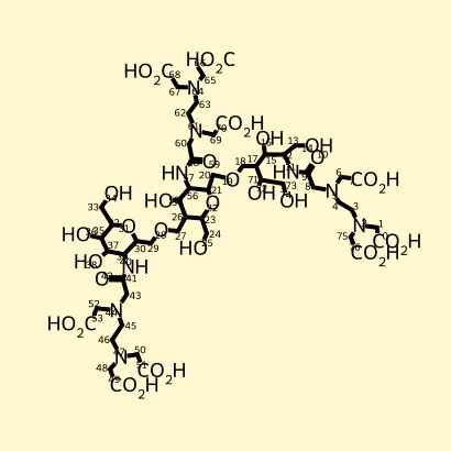 O=C(O)CN(CCN(CC(=O)O)CC(=O)NC(CO)C(O)C(COCC1OC(CO)C(COCC2OC(CO)C(O)C(O)C2NC(=O)CN(CCN(CC(=O)O)CC(=O)O)CC(=O)O)C(O)C1NC(=O)CN(CCN(CC(=O)O)CC(=O)O)CC(=O)O)C(O)CO)CC(=O)O